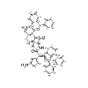 C=CC1=C(C(=O)OC(c2ccccc2)c2ccccc2)N2C(=O)C(NC(=O)C(=NOC(c3ccccc3)(c3ccccc3)c3ccccc3)c3csc(N)n3)[C@@H]2SC1